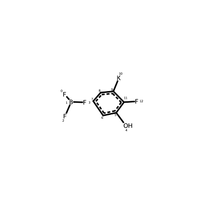 FB(F)F.Oc1ccc[c]([K])c1F